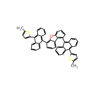 Cc1ccc(-c2c3ccccc3c(-c3cccc4c3oc3cccc(-c5c6ccccc6c(-c6ccc(C)s6)c6ccccc56)c34)c3ccccc23)s1